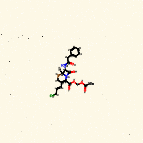 CC(C)(C)C(=O)OCOC(=O)C1=C(/C=C/CCl)CS[C@@H]2[C@H](NC(=O)Cc3ccccc3)C(=O)N12